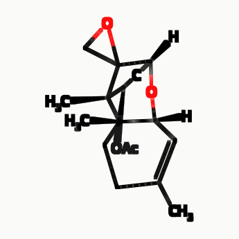 CC(=O)O[C@@H]1C[C@H]2O[C@@H]3C=C(C)CC[C@]3(C)[C@]1(C)C21CO1